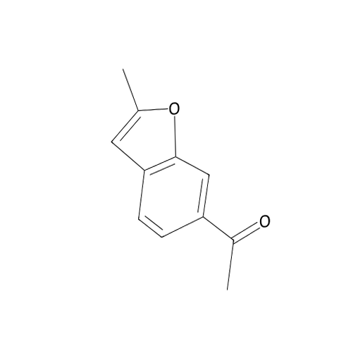 CC(=O)c1ccc2cc(C)oc2c1